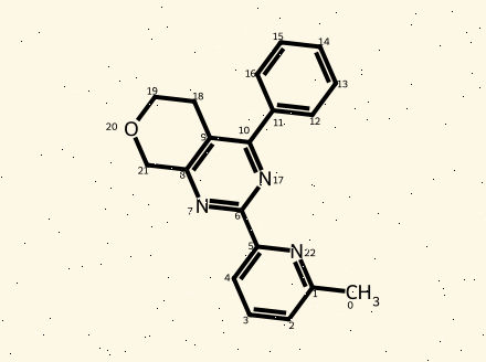 Cc1cccc(-c2nc3c(c(-c4ccccc4)n2)CCOC3)n1